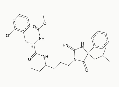 CCC(CCCN1C(=N)NC(CC(C)C)(c2ccccc2)C1=O)NC(=O)[C@H](Cc1ccccc1Cl)NC(=O)OC